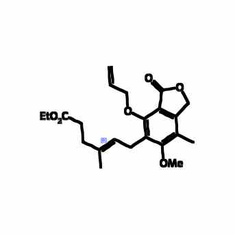 C=CCOc1c(C/C=C(\C)CCC(=O)OCC)c(OC)c(C)c2c1C(=O)OC2